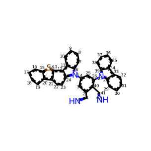 N=Cc1cc(-n2c3ccccc3c3c4sc5ccccc5c4ccc32)cc(-n2c3ccccc3c3ccccc32)c1C=N